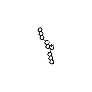 c1ccc2cc3cc(-c4cnc5c(ccc6c(-c7ccc8cc9ccccc9cc8c7)ccnc65)c4)ccc3cc2c1